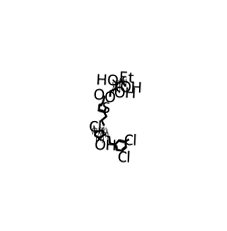 CC[C@@H](O)[C@H](O)[C@@H](O)COC(=O)c1ccc(CCC[C@@H]2[C@@H](CCc3cc(Cl)cc(Cl)c3)[C@H](O)C[C@H]2Cl)s1